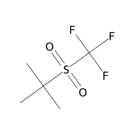 CC(C)(C)S(=O)(=O)C(F)(F)F